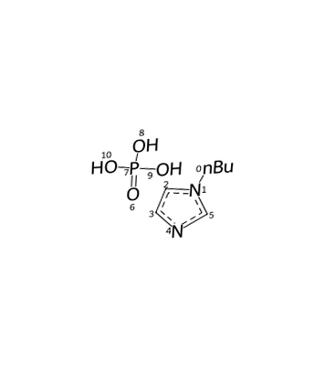 CCCCn1ccnc1.O=P(O)(O)O